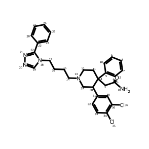 NC(=O)CC1(c2ccccc2)CCN(CCCCn2cnnc2-c2ccccc2)CC1c1ccc(Cl)c(Cl)c1